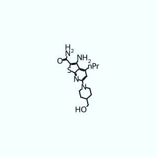 CCCc1cc(N2CCC(CO)CC2)nc2sc(C(N)=O)c(N)c12